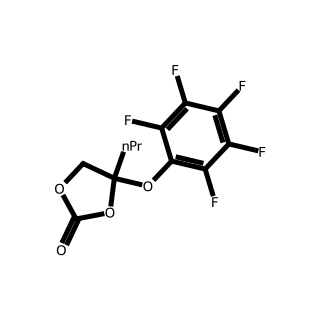 CCCC1(Oc2c(F)c(F)c(F)c(F)c2F)COC(=O)O1